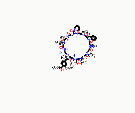 CNC(=O)c1ccc(CC[C@H]2C(=O)N[C@@H]([C@@H](C)O)C(=O)N(C)CC(=O)N(C)[C@@H](CC(C)C)C(=O)N[C@@H](CC(C)C)C(=O)N(C)C(Cc3ccccc3)C(=O)N(C)[C@@H](CC(C)C)C(=O)N[C@H](C(=O)N3CCCCC3)CC(=O)N[C@H](C(C)C)C(=O)N(C)[C@@H](CC(C)C)C(=O)N[C@@H](C(C)C)C(=O)N2C)cc1OC